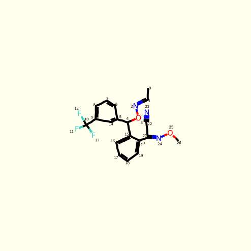 CC=NOC(c1cccc(C(F)(F)F)c1)c1ccccc1C(C#N)=NOC